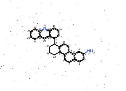 Nc1ccc2ccc3c4c(ccc3c2c1)C(c1cccc2nc3ccccc3cc12)CCC4